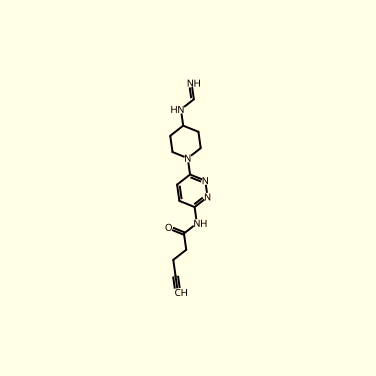 C#CCCC(=O)Nc1ccc(N2CCC(NC=N)CC2)nn1